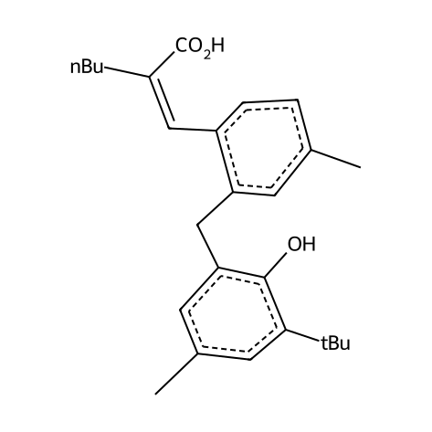 CCCCC(=Cc1ccc(C)cc1Cc1cc(C)cc(C(C)(C)C)c1O)C(=O)O